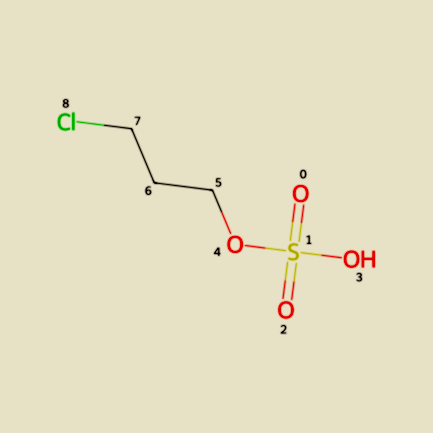 O=S(=O)(O)OCCCCl